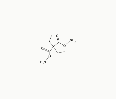 CCC(CC)(C(=O)ON)C(=O)ON